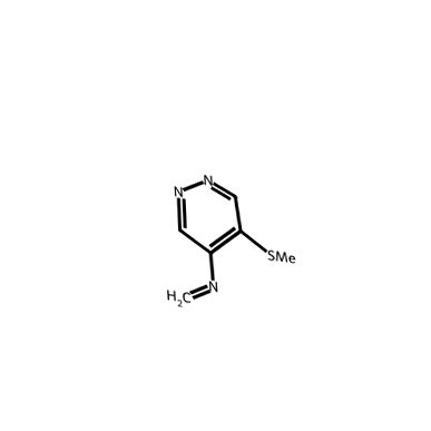 C=Nc1cnncc1SC